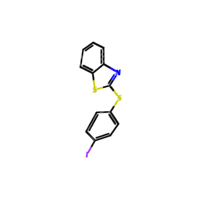 Ic1ccc(Sc2nc3ccccc3s2)cc1